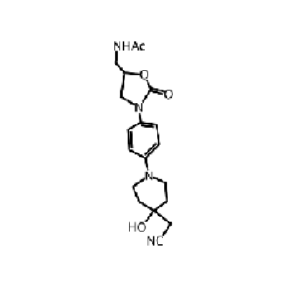 CC(=O)NCC1CN(c2ccc(N3CCC(O)(CC#N)CC3)cc2)C(=O)O1